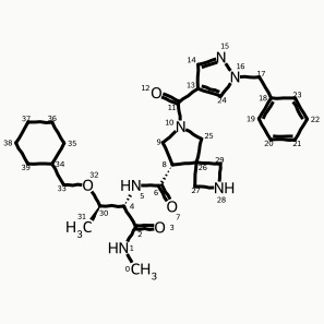 CNC(=O)[C@@H](NC(=O)[C@@H]1CN(C(=O)c2cnn(Cc3ccccc3)c2)CC12CNC2)[C@@H](C)OCC1CCCCC1